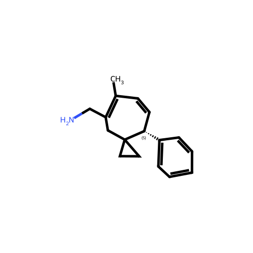 CC1=C(CN)CC2(CC2)[C@@H](c2ccccc2)C=C1